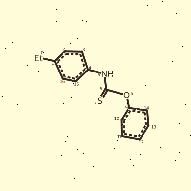 CCc1ccc(NC(=S)Oc2ccccc2)cc1